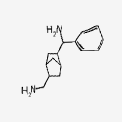 NCC1CC2CC1CC2C(N)c1ccccc1